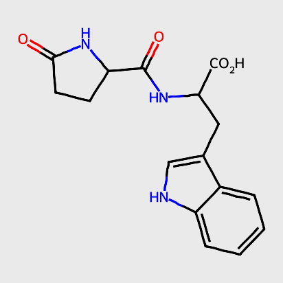 O=C1CCC(C(=O)NC(Cc2c[nH]c3ccccc23)C(=O)O)N1